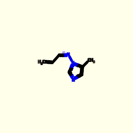 C=C/C=N\n1cncc1C